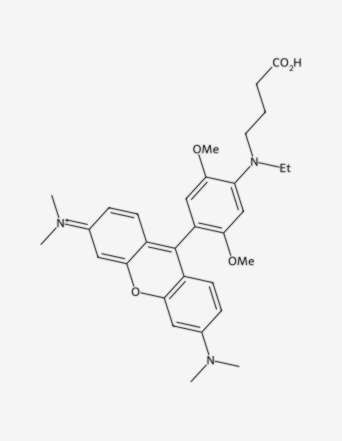 CCN(CCCC(=O)O)c1cc(OC)c(-c2c3ccc(=[N+](C)C)cc-3oc3cc(N(C)C)ccc23)cc1OC